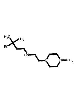 CCC(C)(C)CCNCCN1CCN(C)CC1